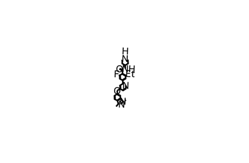 CCc1cc(-c2cc(Oc3ccc4c(C)nn(C)c4c3)ccn2)cc(F)c1C(=O)NC1CCNCC1